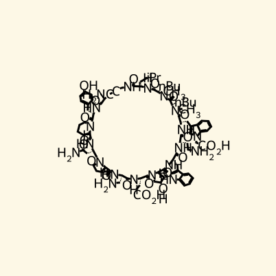 CCCC[C@H]1C(=O)N(C)[C@@H](CCCC)C(=O)N[C@@H](CC(C)C)C(=O)NCCC[C@H](N)C(=O)N[C@@H](Cc2ccc(O)cc2)C(=O)N2CCCC[C@H]2C(=O)N[C@@H](CC(N)=O)C(=O)N2CCC[C@H]2C(=O)N[C@@H](CN)C(=O)N[C@@H](CCC(=O)O)C(=O)N2C[C@H](O)C[C@H]2C(=O)N[C@@H](Cc2c[nH]c3ccccc23)C(=O)N[C@@H](CCN)C(=O)N[C@@H](Cc2cn(CC(=O)O)c3ccccc23)C(=O)N1C